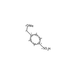 COCc1ccc(S(=O)(=O)O)cc1